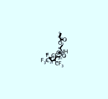 C=CC(=O)OCCNS(=O)(=O)CCC(CC(F)(C(F)(F)F)C(F)(F)F)C(F)(F)F